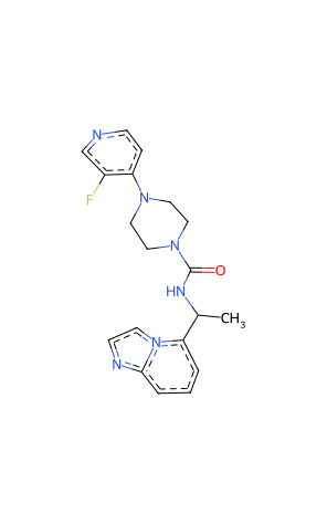 CC(NC(=O)N1CCN(c2ccncc2F)CC1)c1cccc2nccn12